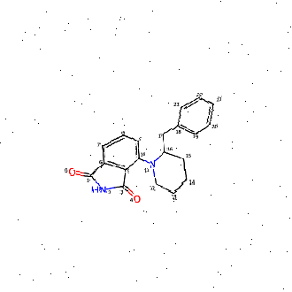 O=C1NC(=O)c2c1cccc2N1CCCCC1Cc1ccccc1